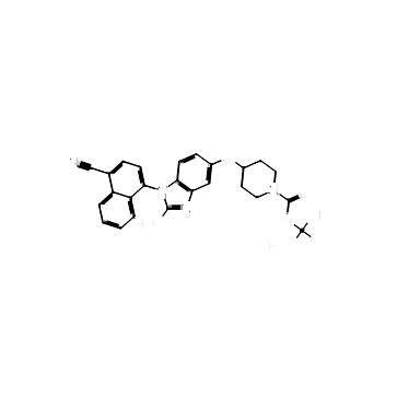 Cc1nc2cc(OC3CCN(C(=O)OC(C)(C)C)CC3)ccc2n1-c1ccc(C#N)c2ccccc12